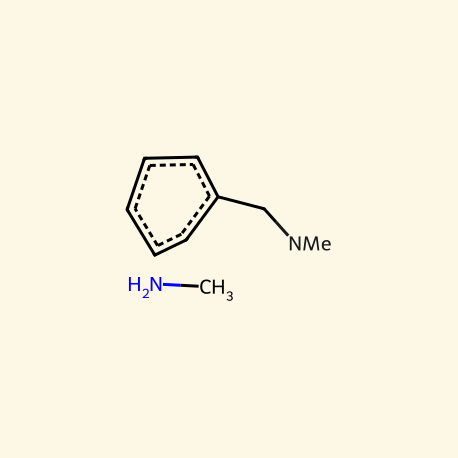 CN.CNCc1ccccc1